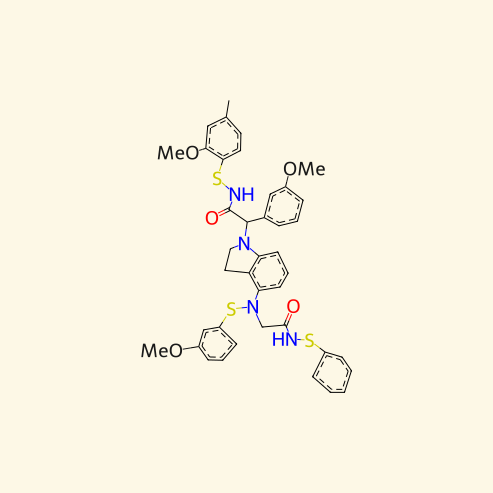 COc1cccc(SN(CC(=O)NSc2ccccc2)c2cccc3c2CCN3C(C(=O)NSc2ccc(C)cc2OC)c2cccc(OC)c2)c1